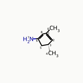 CC1=C[C@H](C)CC(N)=C1